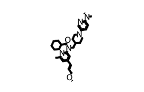 COCC=Cc1cc(C)nc(N(CC2CCN(c3ccc(N(C)C)nc3)CC2)C(=O)C2CCCCC2)c1